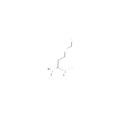 O=[N+]([O-])C(CCOCCl)[N+](=O)[O-]